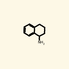 N[C]1CCCc2ccccc21